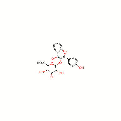 O=C(O)C1OC(Oc2c(-c3ccc(O)cc3)oc3ccccc3c2=O)C(O)C(O)C1O